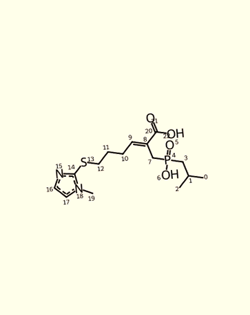 CC(C)CP(=O)(O)CC(=CCCCSc1nccn1C)C(=O)O